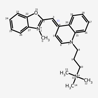 C[n+]1c(/C=C2\C=CN(CCC[N+](C)(C)C)c3ccccc32)oc2ccccc21